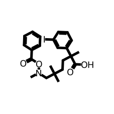 CN(CC(C)(C)CCC(C)(C(=O)O)c1cccc(I)c1)OC(=O)c1ccccc1